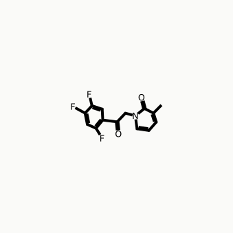 Cc1cccn(CC(=O)c2cc(F)c(F)cc2F)c1=O